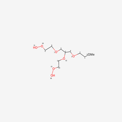 COCCOCC(COCCOO)OCCOO